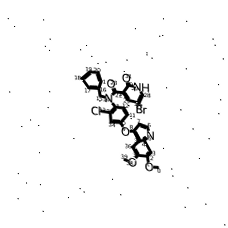 COc1cc2nccc(Oc3ccc(N(Cc4ccccc4)C(=O)c4cc(Br)c[nH]c4=O)c(Cl)c3)c2cc1OC